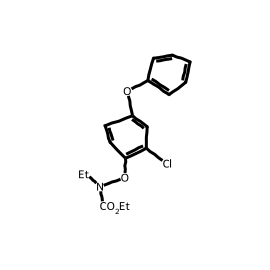 CCOC(=O)N(CC)Oc1ccc(Oc2ccccc2)cc1Cl